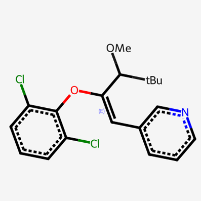 COC(/C(=C\c1cccnc1)Oc1c(Cl)cccc1Cl)C(C)(C)C